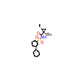 C=C[C@@H]1C[C@@]1(C(=O)NS(=O)(=O)c1cccc(-c2ccccc2)c1)C(C)(C)C